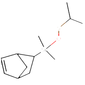 CC(C)SO[Si](C)(C)C1CC2C=CC1C2